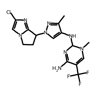 Cc1nn(C2CCn3cc(Cl)nc32)cc1NC1N=C(N)C(C(F)(F)F)=CN1C